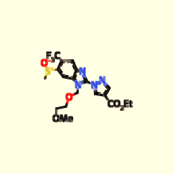 CCOC(=O)c1cnn(-c2nc3cc(C(F)(F)F)c([S+](C)[O-])cc3n2COCCOC)c1